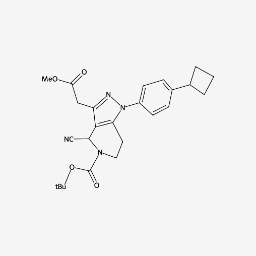 COC(=O)Cc1nn(-c2ccc(C3CCC3)cc2)c2c1C(C#N)N(C(=O)OC(C)(C)C)CC2